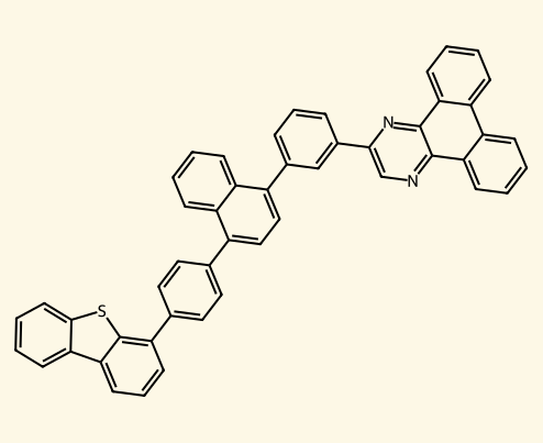 c1cc(-c2cnc3c4ccccc4c4ccccc4c3n2)cc(-c2ccc(-c3ccc(-c4cccc5c4sc4ccccc45)cc3)c3ccccc23)c1